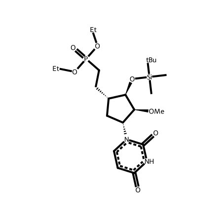 CCOP(=O)(CC[C@H]1C[C@@H](n2ccc(=O)[nH]c2=O)[C@H](OC)[C@@H]1O[Si](C)(C)C(C)(C)C)OCC